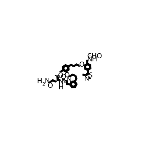 Cc1ncsc1-c1ccc(CNC=O)c(OCCCCc2ccc(CO[C@H](C)[C@H](CCC(N)=O)NC(=O)[C@@H]3Cc4cccc5c4N3C(=O)CCC5)cc2)c1